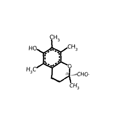 Cc1c(C)c2c(c(C)c1O)CC[C@@](C)([C]=O)O2